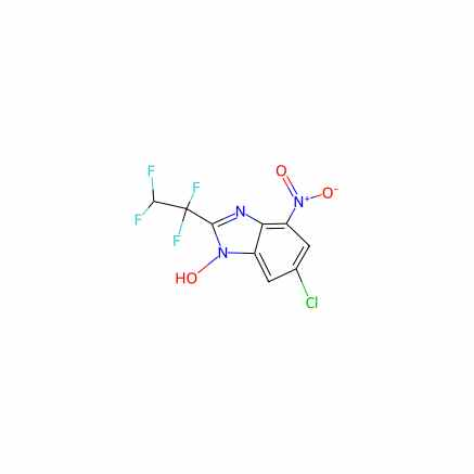 O=[N+]([O-])c1cc(Cl)cc2c1nc(C(F)(F)C(F)F)n2O